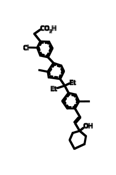 CCC(CC)(c1ccc(C=CC2(O)CCCCC2)c(C)c1)c1ccc(-c2ccc(CC(=O)O)c(Cl)c2)c(C)c1